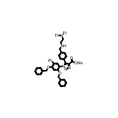 CCN(CC)CCNCc1ccc(-c2c(C(=O)OC)nnn2-c2cc(C(C)C)c(OCc3ccccc3)cc2OCc2ccccc2)cc1